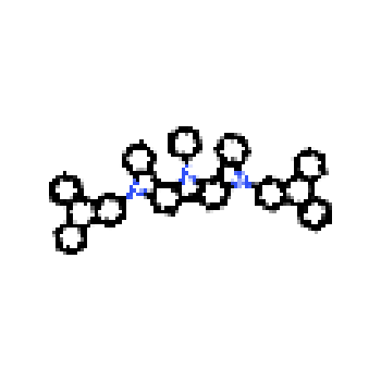 c1ccc(-n2c3c(ccc4c3c3ccccc3n4-c3ccc4c5ccccc5c5ccccc5c4c3)c3ccc4c(c5ccccc5n4-c4ccc5c6ccccc6c6ccccc6c5c4)c32)cc1